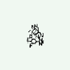 CCC1c2nncn2-c2cnc(-n3ccnc3-c3ccc(F)c(F)c3)nc2N1C1CC(F)C1